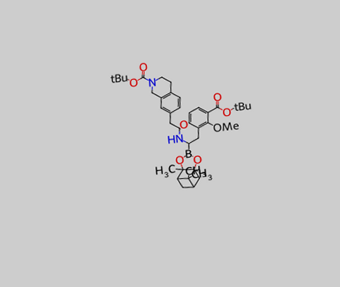 COc1c(CC(NC(=O)Cc2ccc3c(c2)CN(C(=O)OC(C)(C)C)CC3)B2OC3CC4CC(C4(C)C)C3(C)O2)cccc1C(=O)OC(C)(C)C